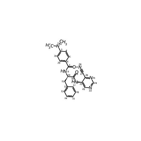 CN(C)c1ccc(C(=O)N[C@H](Cc2ccccc2)C(=O)Nc2cncnc2C#N)cc1